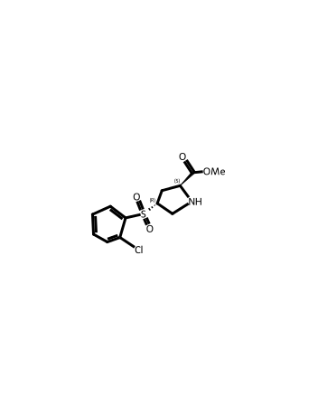 COC(=O)[C@@H]1C[C@@H](S(=O)(=O)c2ccccc2Cl)CN1